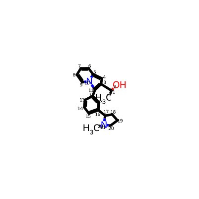 CC(O)c1cc2ccccn2c1-c1cccc(C2CCCN2C)c1